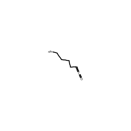 [CH2]CCCCCCC=C=O